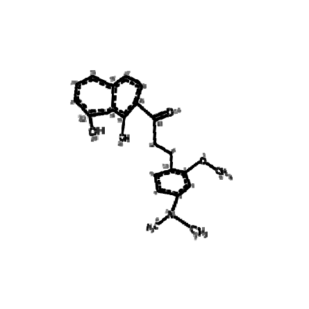 COc1cc(N(C)C)ccc1CCC(=O)c1ccc2cccc(O)c2c1O